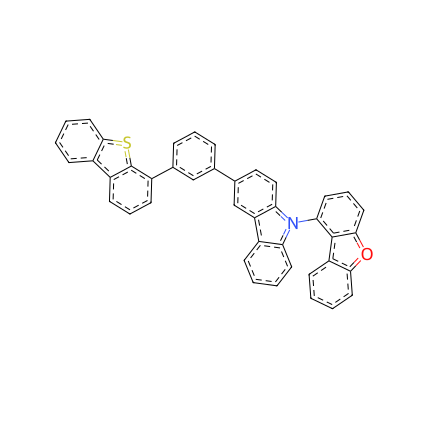 c1cc(-c2ccc3c(c2)c2ccccc2n3-c2cccc3oc4ccccc4c23)cc(-c2cccc3c2sc2ccccc23)c1